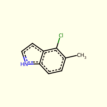 Cc1ccc2[nH]ccc2c1Cl